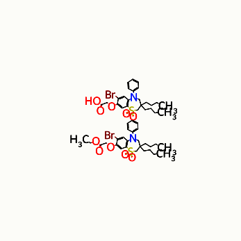 CCCCC1(CCCC)CN(c2ccccc2)c2cc(Br)c(OCC(=O)O)cc2S(=O)(=O)C1.CCCCC1(CCCC)CN(c2ccccc2)c2cc(Br)c(OCC(=O)OCC)cc2S(=O)(=O)C1